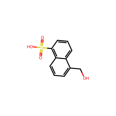 O=S(=O)(O)c1cccc2c(CO)cccc12